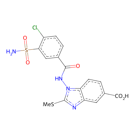 CSc1nc2cc(C(=O)O)ccc2n1NC(=O)c1ccc(Cl)c(S(N)(=O)=O)c1